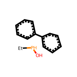 CCPO.c1ccc(-c2ccccc2)cc1